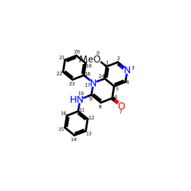 COc1cncc2c(=O)cc(Nc3ccccc3)n(-c3ccccc3)c12